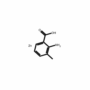 Cc1cccc(C(=O)O)c1N.[Zn]